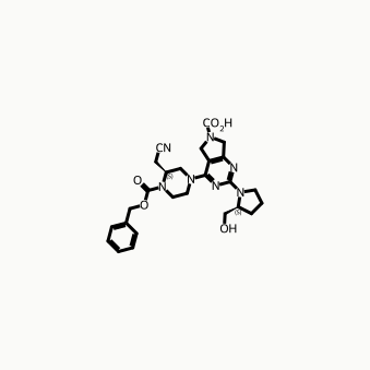 N#CC[C@H]1CN(c2nc(N3CCC[C@H]3CO)nc3c2CN(C(=O)O)C3)CCN1C(=O)OCc1ccccc1